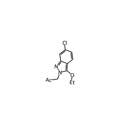 CCOc1c2ccc(Cl)cc2nn1CC(C)=O